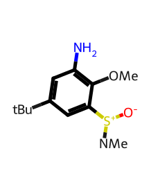 CN[S+]([O-])c1cc(C(C)(C)C)cc(N)c1OC